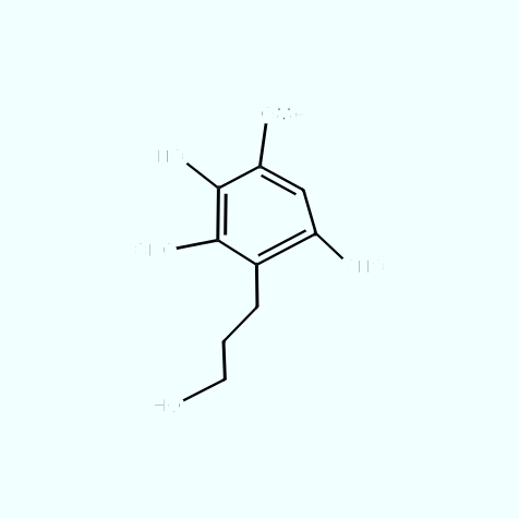 COc1cc(C=O)c(CCCO)c(C=O)c1O